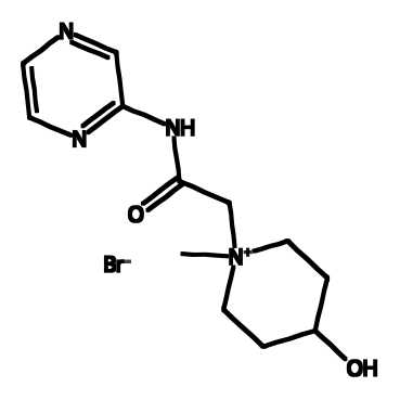 C[N+]1(CC(=O)Nc2cnccn2)CCC(O)CC1.[Br-]